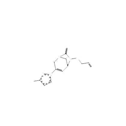 C=CCON1C(=O)N2CC(n3ccc(F)n3)=CC1C2